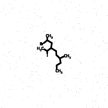 CCCC(C)CCC(CC(C)Br)C(C)I